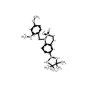 COc1ccc(CN2c3ccc(B4OC(C)(C)C(C)(C)O4)cc3CCS2(=O)=O)c(OC)c1